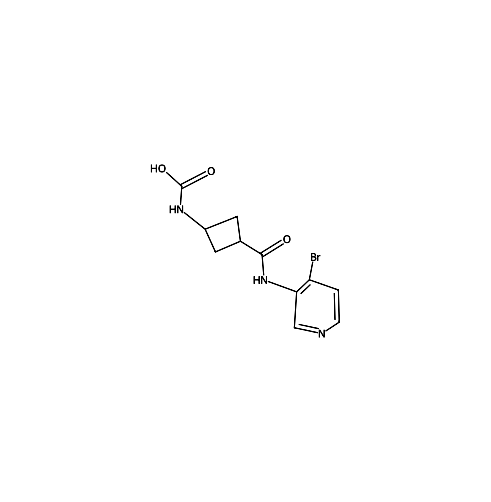 O=C(O)NC1CC(C(=O)Nc2cnccc2Br)C1